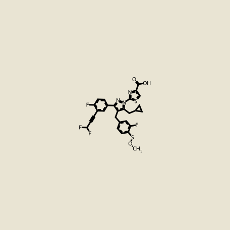 COSc1ccc(Cc2c(-c3ccc(F)c(C#CC(F)F)c3)nn(-c3nc(C(=O)O)cs3)c2CC2CC2)cc1F